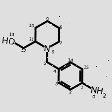 Nc1ccc(CN2CCCCC2CO)cc1